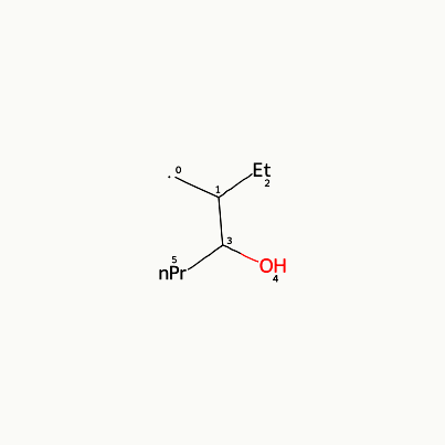 [CH2]C(CC)C(O)CCC